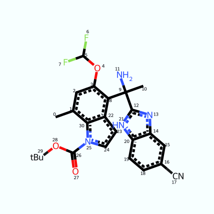 Cc1cc(OC(F)F)c(C(C)(N)c2nc3cc(C#N)ccc3[nH]2)c2ccn(C(=O)OC(C)(C)C)c12